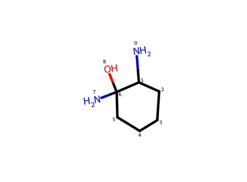 NC1CCCCC1(N)O